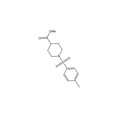 COC(=O)C1CCN(S(=O)(=O)c2ccc(I)cc2)CC1